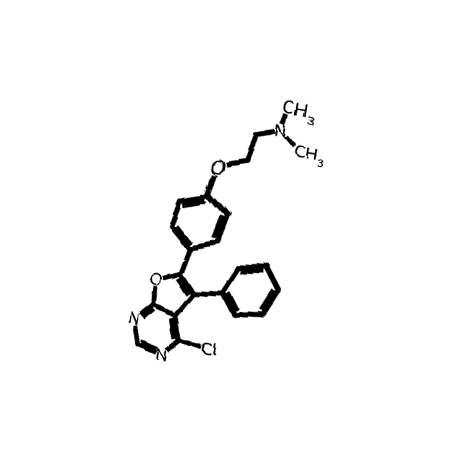 CN(C)CCOc1ccc(-c2oc3ncnc(Cl)c3c2-c2ccccc2)cc1